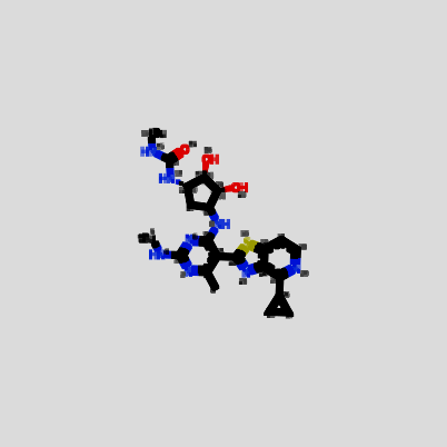 Cc1nc(NC(C)(C)C)nc(NC2C[C@H](NC(=O)NC(C)(C)C)[C@@H](O)[C@H]2O)c1-c1nc2c(C3CC3)nccc2s1